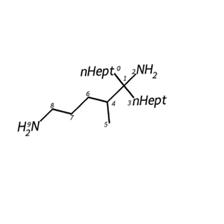 CCCCCCCC(N)(CCCCCCC)C(C)CCCN